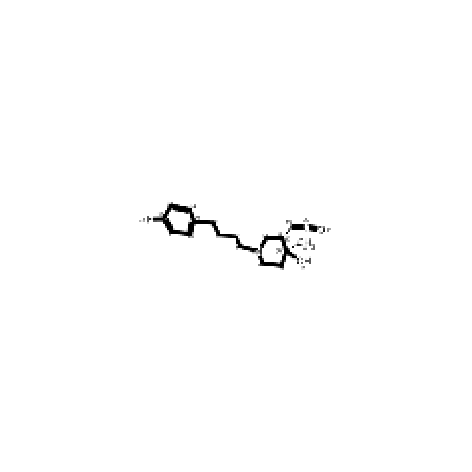 C[C@]1(O)CCN(CCCCc2ccc(F)cc2)C[C@@H]1C=C=O